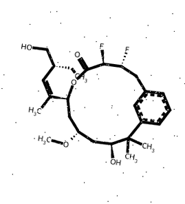 CC[C@H](/C=C(/C)[C@@H]1C[C@@H](OC)C[C@H](O)C(C)(C)c2cccc(c2)C[C@@H](F)[C@H](F)C(=O)O1)CO